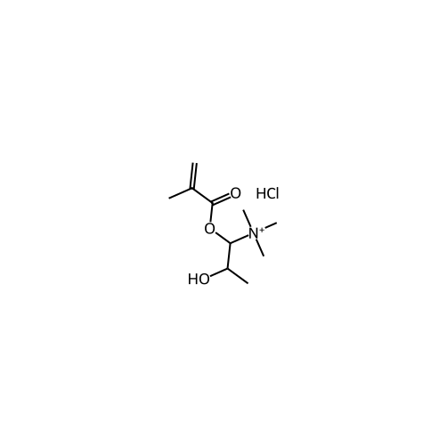 C=C(C)C(=O)OC(C(C)O)[N+](C)(C)C.Cl